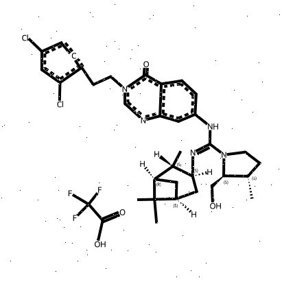 C[C@@H]1[C@@H](N=C(Nc2ccc3c(=O)n(CCc4ccc(Cl)cc4Cl)cnc3c2)N2CC[C@H](C)[C@H]2CO)C[C@@H]2C[C@H]1C2(C)C.O=C(O)C(F)(F)F